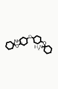 NC1(OC2CCC(OC3CCC(OC4(N)CCCCC4)CC3)CC2)CCCCC1